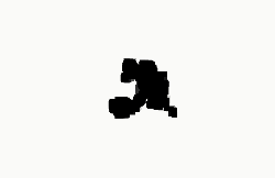 C=CC(=O)N1CCC[C@@H](n2nc(C#CCN3CCOCC3)c3c(N)ncnc32)C1